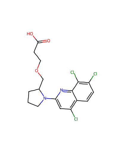 O=C(O)CCOCC1CCCN1c1cc(Cl)c2ccc(Cl)c(Cl)c2n1